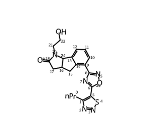 CCCc1nnsc1-c1nc(-c2cccc3c2CC2CC(=O)N(CCO)C32)no1